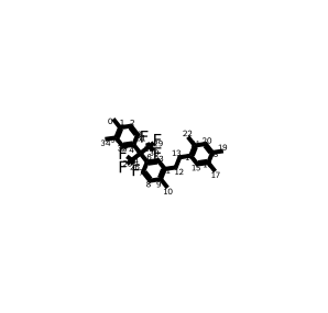 Cc1ccc(C(c2ccc(C)c(CCc3cc(C)c(C)cc3C)c2)(C(F)(F)F)C(F)(F)F)cc1C